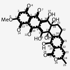 COc1cc(=O)c2c(=O)c3c(c(=O)c=2c1=O)=C(O)[C@@]1(O)c2c(cc4cc(C)oc(=O)c4c2O)CC[C@@]1(O)C=3O